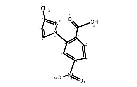 Cc1ccn(-c2cc([N+](=O)[O-])ccc2C(=O)O)n1